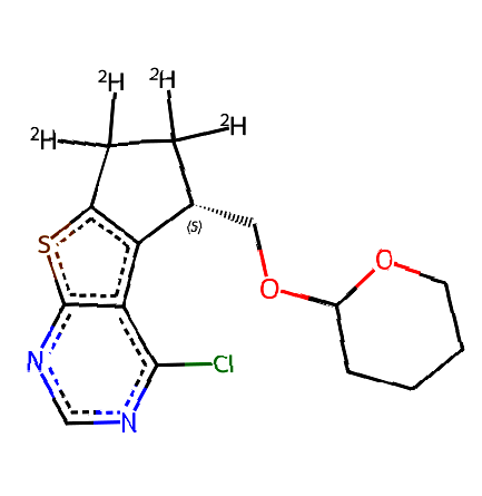 [2H]C1([2H])c2sc3ncnc(Cl)c3c2[C@@H](COC2CCCCO2)C1([2H])[2H]